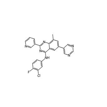 Cc1cc(-c2cncnc2)cc2c(Nc3ccc(F)c(Cl)c3)nc(-c3cccnc3)nc12